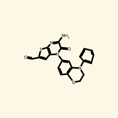 Nc1nc2sc(C=O)cc2n(-c2ccc3c(c2)N(c2ccccc2)CCO3)c1=O